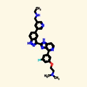 CCNCc1cncc(-c2ccc3[nH]nc(-c4nc5c(-c6cc(F)cc(OCCN(C)C)c6)nccc5[nH]4)c3c2)c1